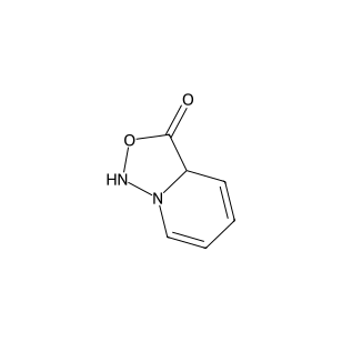 O=C1ONN2C=CC=CC12